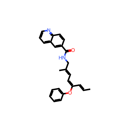 C/C=C/C(=C\C=C(/C)CNC(=O)c1ccc2ncccc2c1)Oc1ccccc1